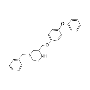 c1ccc(CN2CCNC(COc3ccc(Oc4ccccc4)cc3)C2)cc1